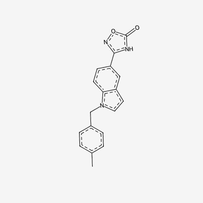 Cc1ccc(Cn2ccc3cc(-c4noc(=O)[nH]4)ccc32)cc1